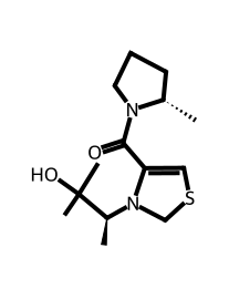 C[C@H](N1CSC=C1C(=O)N1CCC[C@@H]1C)C(C)(C)O